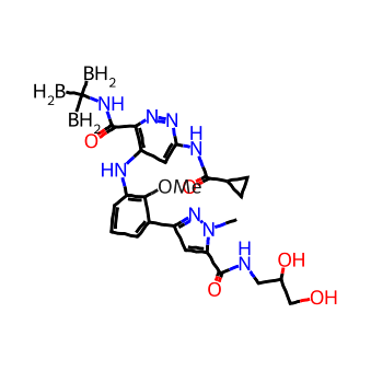 BC(B)(B)NC(=O)c1nnc(NC(=O)C2CC2)cc1Nc1cccc(-c2cc(C(=O)NCC(O)CO)n(C)n2)c1OC